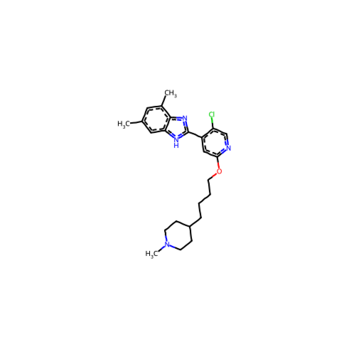 Cc1cc(C)c2nc(-c3cc(OCCCCC4CCN(C)CC4)ncc3Cl)[nH]c2c1